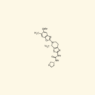 COc1cc2nc(N3CCc4nc(NC(=O)N[C@@H]5CCOC5)sc4[C@@H]3C)oc2cc1C